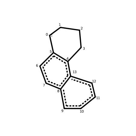 [C]1CCCc2c1ccc1ccccc21